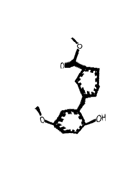 COC(=O)c1cccc(-c2cc(OC)ccc2O)c1